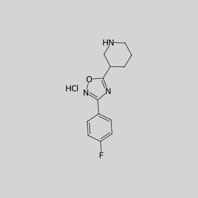 Cl.Fc1ccc(-c2noc(C3CCCNC3)n2)cc1